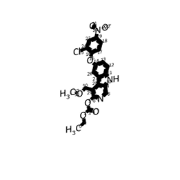 CCOC(=O)Oc1ncc2[nH]c3ccc(Oc4ccc([N+](=O)[O-])cc4Cl)cc3c2c1COC